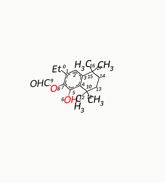 CCc1cc2c(c(O)c1OC=O)C(C)(C)CCC2(C)C